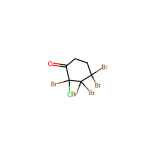 O=C1CCC(Br)(Br)C(Br)(Br)C1(Cl)Br